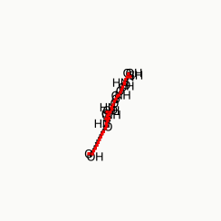 O=C(O)CCCCCCCCCCCCCCCCCCCCC(=O)NC[C@H]1CC[C@H](C(=O)N[C@@H](CCC(=O)NCCOCCOCC(=O)NCCOCCOCC(=O)NCCCC[C@H](NS)C(=O)O)C(=O)O)CC1